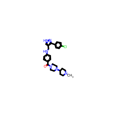 CN1CCC(N2CCN(C(=O)c3ccc(NCc4c[nH]nc4-c4ccc(Cl)cc4)cc3)CC2)CC1